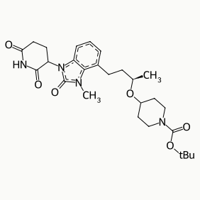 C[C@H](CCc1cccc2c1n(C)c(=O)n2C1CCC(=O)NC1=O)OC1CCN(C(=O)OC(C)(C)C)CC1